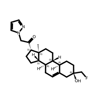 C[C@]12CC[C@H]3[C@@H](CC=C4C[C@@](O)(CF)CC[C@@H]43)[C@@H]1CC[C@@H]2C(=O)Cn1cccn1